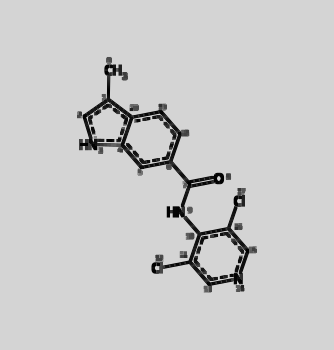 Cc1c[nH]c2cc(C(=O)Nc3c(Cl)cncc3Cl)ccc12